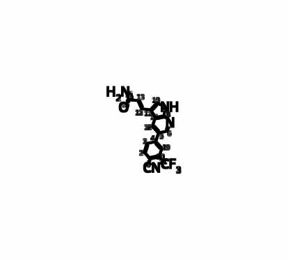 N#Cc1ccc(-c2cnc3[nH]cc(C=CC(N)=O)c3c2)cc1C(F)(F)F